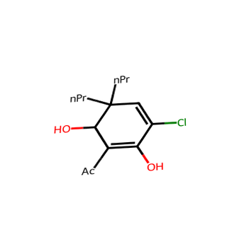 CCCC1(CCC)C=C(Cl)C(O)=C(C(C)=O)C1O